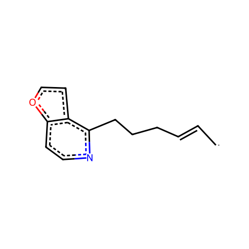 [CH2]C=CCCCc1nccc2occc12